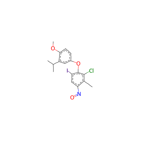 COc1ccc(Oc2c(I)cc(N=O)c(C)c2Cl)cc1C(C)C